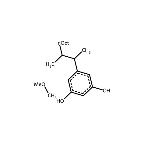 CCCCCCCCC(C)C(C)c1cc(O)cc(O)c1.COC